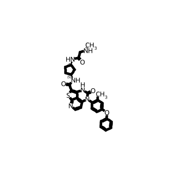 CNCC(=O)N[C@@H]1CC[C@H](NC(=O)c2sc3nccc4c3c2NC(=O)N4c2ccc(Oc3ccccc3)cc2C)C1